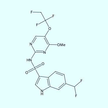 COc1nc(NS(=O)(=O)c2c[nH]c3cc(C(F)F)ccc23)ncc1OC(F)(F)CF